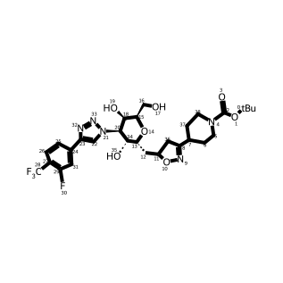 CC(C)(C)OC(=O)N1CCC(C2=NOC(C[C@H]3O[C@H](CO)[C@H](O)[C@H](n4cc(-c5ccc(C(F)(F)F)c(F)c5)nn4)[C@H]3O)C2)CC1